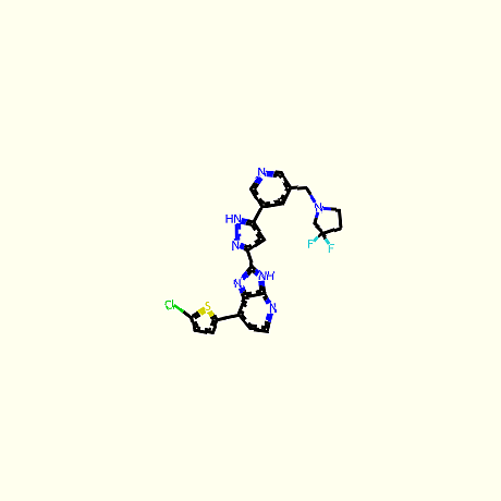 FC1(F)CCN(Cc2cncc(-c3cc(-c4nc5c(-c6ccc(Cl)s6)ccnc5[nH]4)n[nH]3)c2)C1